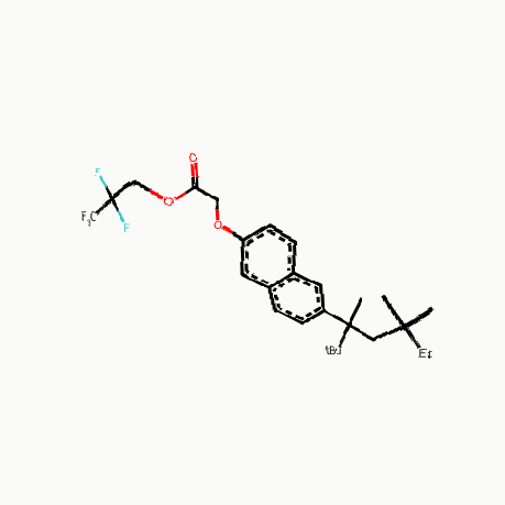 CCC(C)(C)CC(C)(c1ccc2cc(OCC(=O)OCC(F)(F)C(F)(F)F)ccc2c1)C(C)(C)C